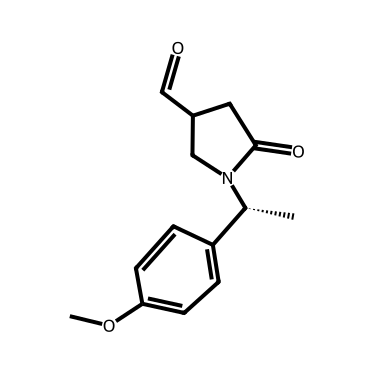 COc1ccc([C@@H](C)N2CC(C=O)CC2=O)cc1